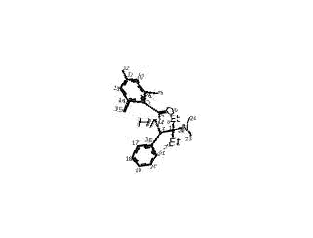 CCC(CC)(C(NC(=O)c1c(C)cc(C)cc1C)c1ccccc1)N(C)C